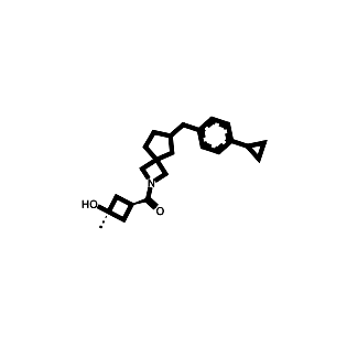 C[C@]1(O)C[C@@H](C(=O)N2CC3(CCC(Cc4ccc(C5CC5)cc4)C3)C2)C1